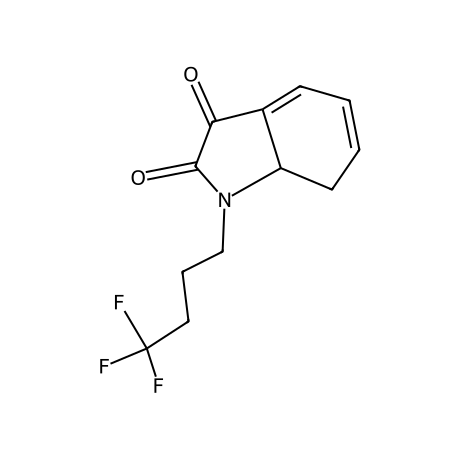 O=C1C(=O)N(CCCC(F)(F)F)C2CC=CC=C12